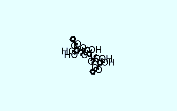 CCCC(CC)(Oc1cc(C(=O)Oc2ccccc2)cc(O)c1O)C(=O)c1cc(O)c(O)c(OC(CC)(CCC)C(=O)c2cc(O)c(O)c(OC(=O)c3ccccc3)c2)c1